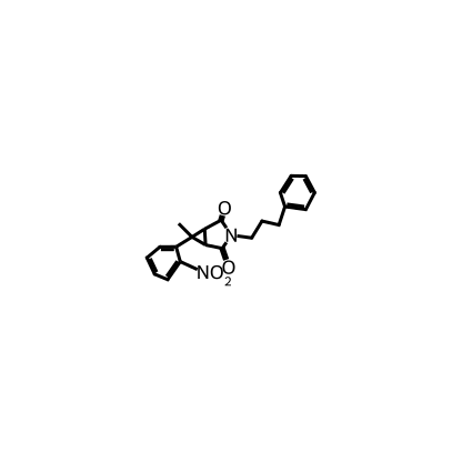 CC1(c2ccccc2[N+](=O)[O-])C2C(=O)N(CCCc3ccccc3)C(=O)C21